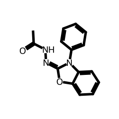 CC(=O)NN=c1oc2ccccc2n1-c1ccccc1